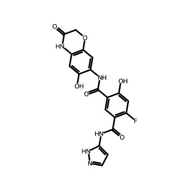 O=C1COc2cc(NC(=O)c3cc(C(=O)Nc4ccn[nH]4)c(F)cc3O)c(O)cc2N1